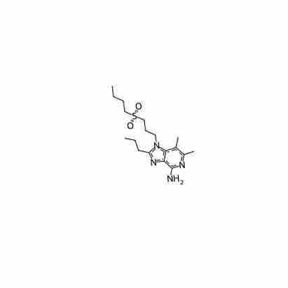 CCCCS(=O)(=O)CCCn1c(CCC)nc2c(N)nc(C)c(C)c21